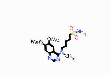 COc1cc2ncnc(N(C)CCCCCS(N)(=O)=O)c2cc1OC